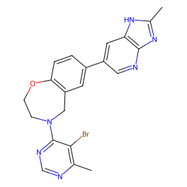 Cc1nc2ncc(-c3ccc4c(c3)CN(c3ncnc(C)c3Br)CCO4)cc2[nH]1